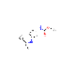 CC(N[C@H]1CC[C@H](NC(=O)OC(C)(C)C)C1)C1CC1